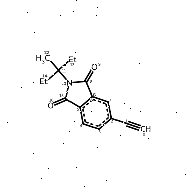 C#Cc1ccc2c(c1)C(=O)N(C(C)(CC)CC)C2=O